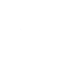 CNC(=O)C(O)C(O)C(=O)NC